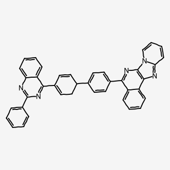 C1=CC(c2ccc(-c3nc4c(nc5ccccn54)c4ccccc34)cc2)CC=C1c1nc(-c2ccccc2)nc2ccccc12